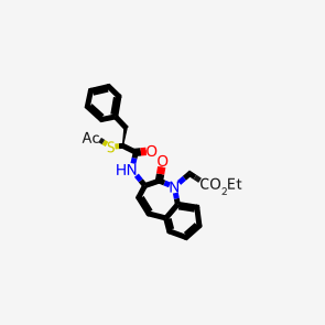 CCOC(=O)CN1C(=O)C(NC(=O)[C@H](Cc2ccccc2)SC(C)=O)C=Cc2ccccc21